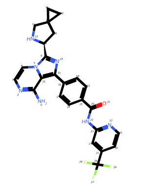 Nc1nccn2c([C@@H]3CC4(CC4)CN3)nc(-c3ccc(C(=O)Nc4cc(C(F)(F)F)ccn4)cc3)c12